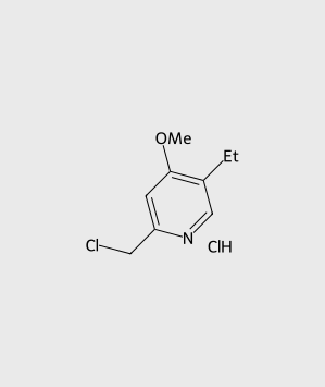 CCc1cnc(CCl)cc1OC.Cl